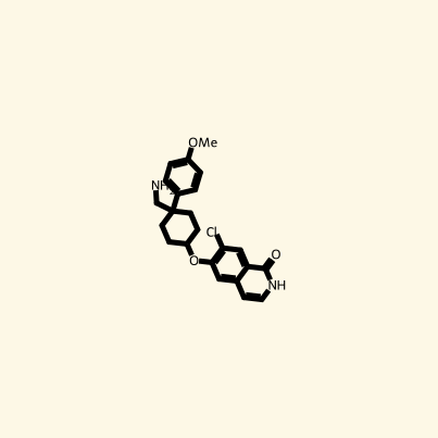 COc1ccc(C2(CN)CCC(Oc3cc4cc[nH]c(=O)c4cc3Cl)CC2)cc1